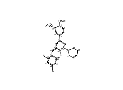 COc1ccc(-c2c/c(=N/c3c(C)cc(C)cc3C)n(C)c(N3CC=CCC3)n2)cc1OC